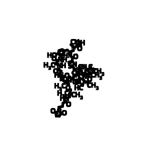 C#C[C@@H](CC)/C(=N\C(=O)C(C)(C)N(C)C)C(=O)N(C)[C@H](C[C@@H](OC)c1nc(C(=O)N[C@@H](Cc2ccc(O)c(NC(=O)[C@H](C)NC(=O)CNC(=O)CC(C)(C)COCC(C)(C)CNC(=O)CCCN3C(=O)C=CC3=O)c2)C[C@H](C=C)C(=O)O)cs1)C(C)C